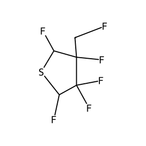 FCC1(F)C(F)SC(F)C1(F)F